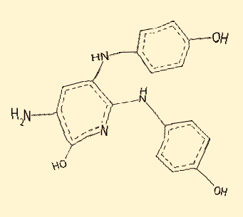 Nc1cc(Nc2ccc(O)cc2)c(Nc2ccc(O)cc2)nc1O